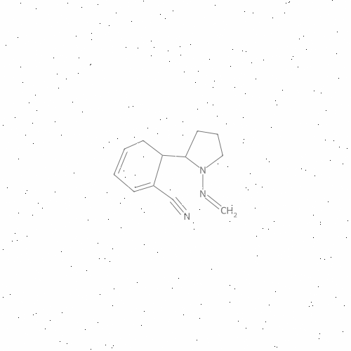 C=NN1CCCC1C1CC=CC=C1C#N